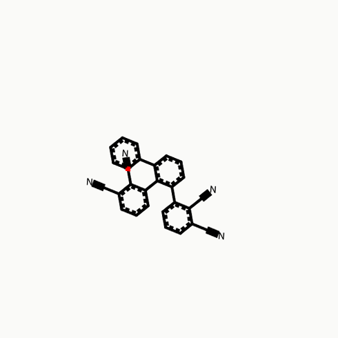 N#Cc1cccc(-c2cccc(-c3ccccc3)c2-c2cccc(C#N)c2C#N)c1C#N